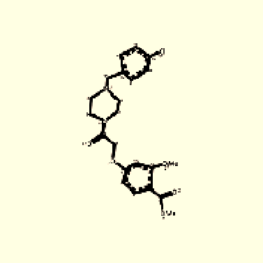 COC(=O)c1ccc(OCC(=O)N2CCN(Cc3ccc(Cl)cc3)CC2)cc1OC